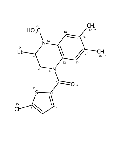 CCC1CN(C(=O)c2ccc(Cl)s2)c2cc(C)c(C)cc2N1C(=O)O